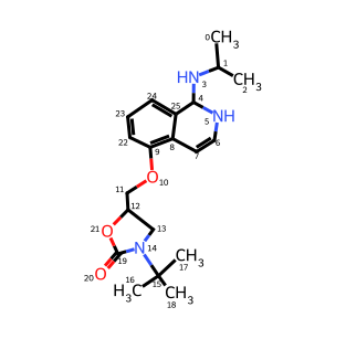 CC(C)NC1NC=Cc2c(OCC3CN(C(C)(C)C)C(=O)O3)cccc21